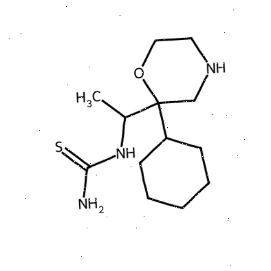 CC(NC(N)=S)C1(C2CCCCC2)CNCCO1